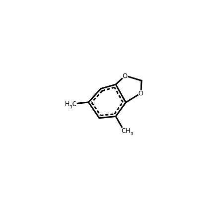 Cc1cc(C)c2c(c1)OCO2